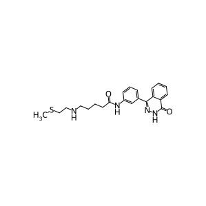 CSCCNCCCCC(=O)Nc1cccc(-c2n[nH]c(=O)c3ccccc23)c1